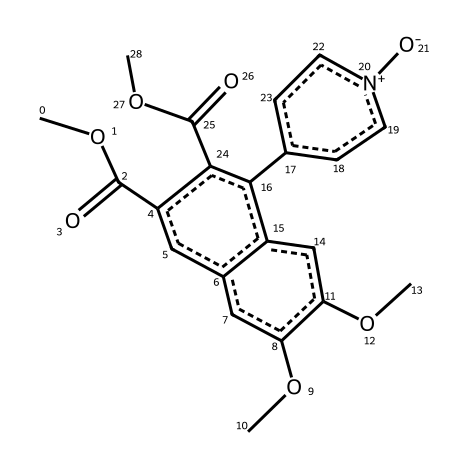 COC(=O)c1cc2cc(OC)c(OC)cc2c(-c2cc[n+]([O-])cc2)c1C(=O)OC